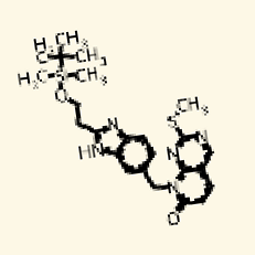 CSc1ncc2ccc(=O)n(Cc3ccc4nc(CCO[Si](C)(C)C(C)(C)C)[nH]c4c3)c2n1